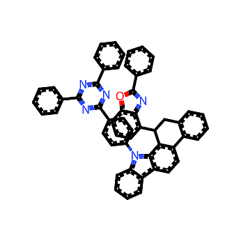 c1ccc(-c2nc(-c3ccccc3)nc(-c3ccc(-n4c5ccccc5c5ccc6c(c54)C(c4cccc5oc(-c7ccccc7)nc45)Cc4ccccc4-6)cc3)n2)cc1